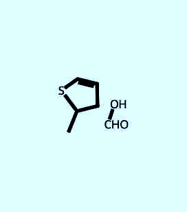 CC1CC=CS1.O=CO